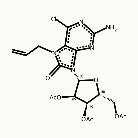 C=CCn1c(=O)n([C@@H]2O[C@H](COC(C)=O)[C@@H](OC(C)=O)[C@H]2OC(C)=O)c2nc(N)nc(Cl)c21